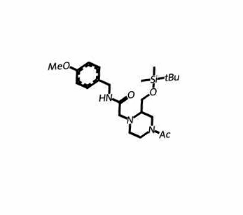 COc1ccc(CNC(=O)CN2CCN(C(C)=O)CC2CO[Si](C)(C)C(C)(C)C)cc1